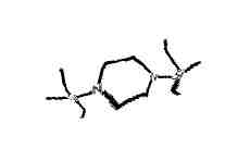 C[Si](C)(C)N1CCN([Si](C)(C)C)CC1